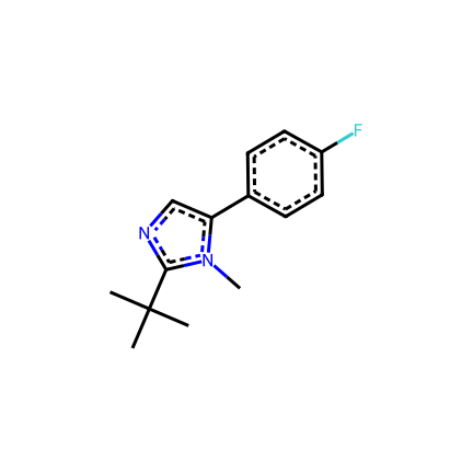 Cn1c(-c2ccc(F)cc2)cnc1C(C)(C)C